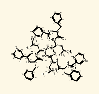 CC(C)C[C@H](NC(=O)[C@H](Cc1ccccc1)NC(=O)c1ccccn1)B1OB([C@H](CC(C)C)NC(=O)[C@H](Cc2ccccc2)NC(=O)c2cnccn2)OB([C@H](CC(C)C)NC(=O)[C@@H](Cc2ccccc2)NC(=O)c2cnccn2)O1